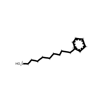 O=S(=O)(O)CCCCCCCCCc1ccccc1